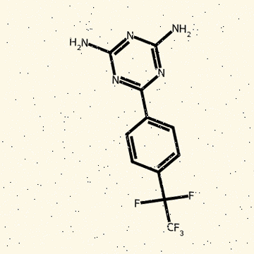 Nc1nc(N)nc(-c2ccc(C(F)(F)C(F)(F)F)cc2)n1